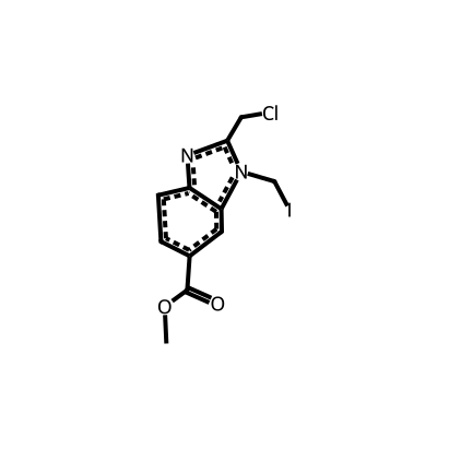 COC(=O)c1ccc2nc(CCl)n(CI)c2c1